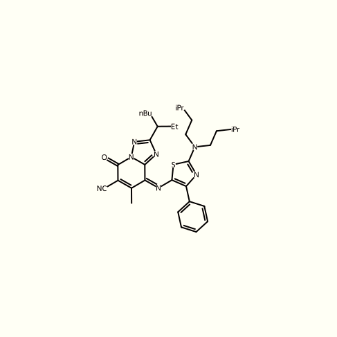 CCCCC(CC)c1nc2n(n1)C(=O)C(C#N)=C(C)/C2=N/c1sc(N(CCC(C)C)CCC(C)C)nc1-c1ccccc1